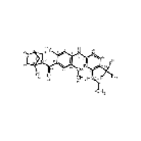 CCNc1nc(Nc2cc(F)c(C(=O)N3CC4C[C@H]3CO4)cc2OC)ncc1C(F)(F)F